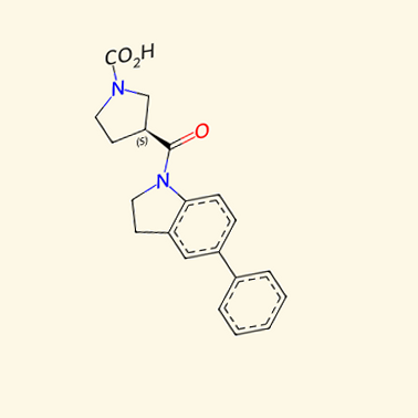 O=C(O)N1CC[C@H](C(=O)N2CCc3cc(-c4ccccc4)ccc32)C1